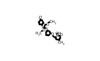 CCOCC(OCC)(Sc1ccc(Cl)cc1)Sc1cccc(OCc2cc(C)cc(=O)n2O)c1